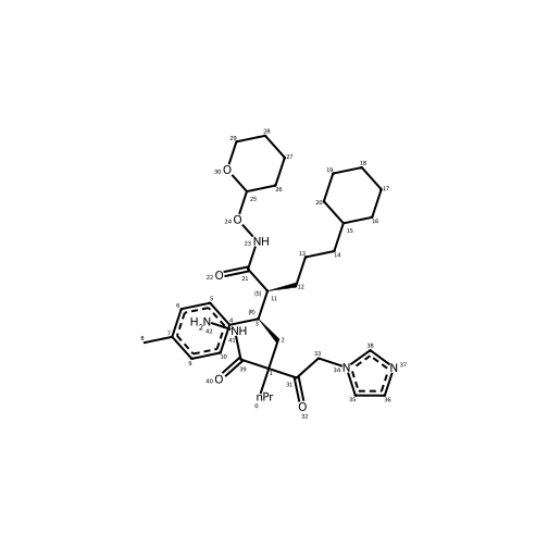 CCCC(C[C@@H](c1ccc(C)cc1)[C@H](CCCC1CCCCC1)C(=O)NOC1CCCCO1)(C(=O)Cn1ccnc1)C(=O)NN